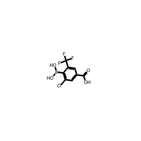 O=C(O)c1cc(Cl)c(B(O)O)c(C(F)(F)F)c1